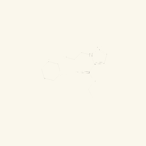 CCOC(=O)c1ccnn1CCOC1CCCCO1